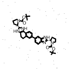 CC(C)(C)OC(=O)N1CCC[C@H]1c1nc2ccc(-c3ccc4c(c3)CCC3=C4NC([C@@H]4CCCN4C(=O)OC(C)(C)C)N3)cc2[nH]1